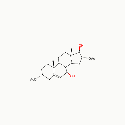 CC(=O)O[C@@H]1CC[C@@]2(C)C(=C[C@H](O)C3C2CC[C@@]2(C)C3C[C@@H](OC(C)=O)[C@@H]2O)C1